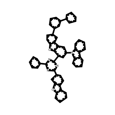 c1ccc(-c2cccc(-c3ccc4oc5c(-c6nc(-c7ccccc7)nc(-c7ccc8c(c7)oc7ccccc78)n6)cc(-n6c7ccccc7c7ccccc76)cc5c4c3)c2)cc1